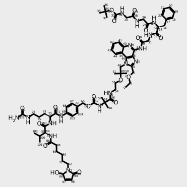 CCOCc1nc2c(NC(=O)CNC(=O)[C@H](Cc3ccccc3)NC(=O)CNC(=O)CNC(=O)OC(C)(C)C)nc3ccccc3c2n1CC(C)(C)OCCNC(=O)C(C)(C)NC(=O)OCc1ccc(NC(=O)[C@H](CCCNC(N)=O)NC(=O)[C@@H](NC(=O)CCCCCN2C(=O)C=CC2O)C(C)C)cc1